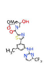 COC(=O)C1CC(O)CN1C(=O)c1ncc(-c2cc(C)cc(Nc3nccc(C(F)(F)F)n3)c2)s1